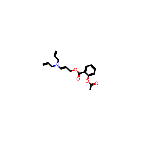 C=CCN(C=CCOC(=O)c1ccccc1OC(C)=O)CC=C